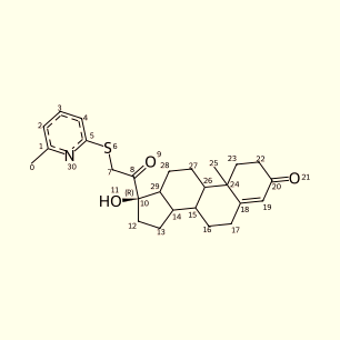 Cc1cccc(SCC(=O)[C@@]2(O)CCC3C4CCC5=CC(=O)CCC5(C)C4CCC32)n1